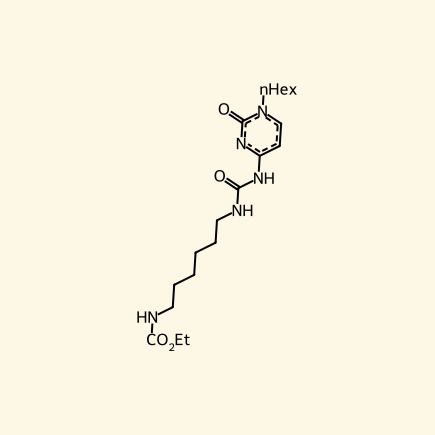 CCCCCCn1ccc(NC(=O)NCCCCCCNC(=O)OCC)nc1=O